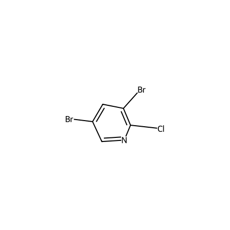 Clc1ncc(Br)cc1Br